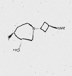 CO[C@H]1C[C@H](N2CC[C@H](I)[C@@H](O)C2)C1